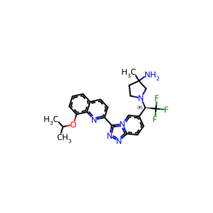 CC(C)Oc1cccc2ccc(-c3nnc4ccc([C@@H](N5CCC(C)(N)C5)C(F)(F)F)cn34)nc12